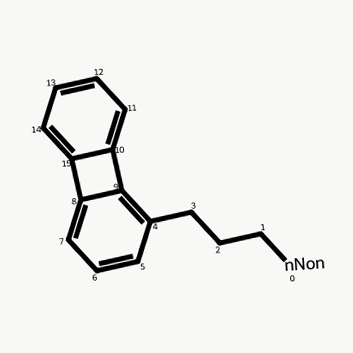 CCCCCCCCCCCCc1cccc2c1-c1ccccc1-2